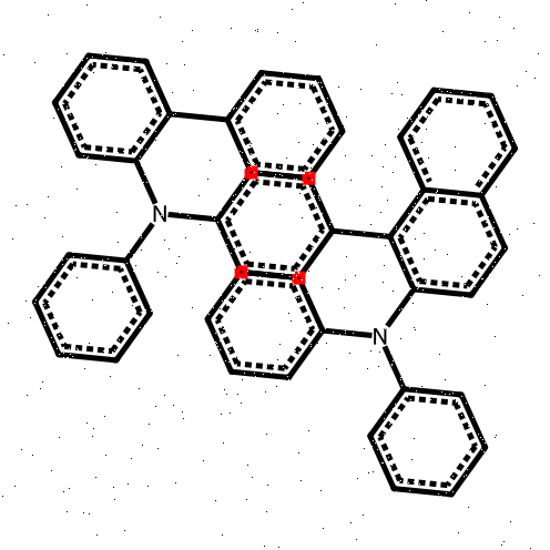 c1ccc(-c2ccccc2N(c2ccccc2)c2ccc(-c3c(N(c4ccccc4)c4ccccc4)ccc4ccccc34)cc2)cc1